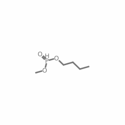 CCCCO[PH](=O)OC